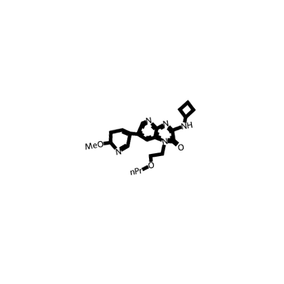 CCCOCCn1c(=O)c(NC2CCC2)nc2ncc(C3=CCC(OC)N=C3)cc21